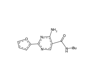 CCC(C)NC(=O)c1cnc(-c2ccco2)nc1N